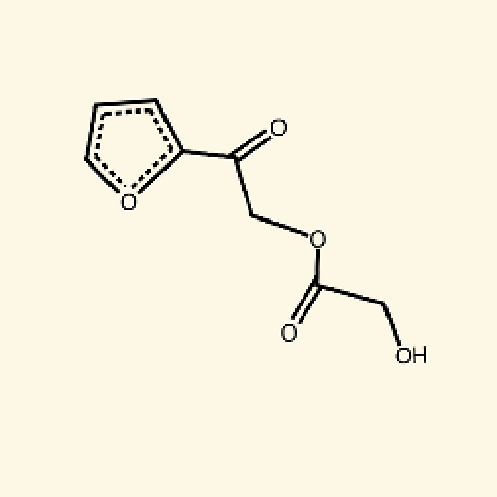 O=C(CO)OCC(=O)c1ccco1